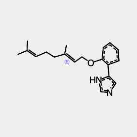 CC(C)=CCC/C(C)=C/COc1ccccc1-c1cnc[nH]1